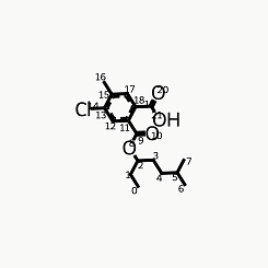 CCC(CCC(C)C)OC(=O)c1cc(Cl)c(C)cc1C(=O)O